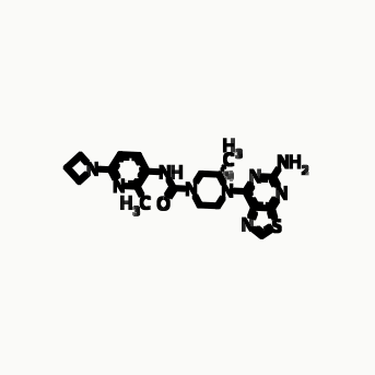 Cc1nc(N2CCC2)ccc1NC(=O)N1CCN(c2nc(N)nc3scnc23)[C@@H](C)C1